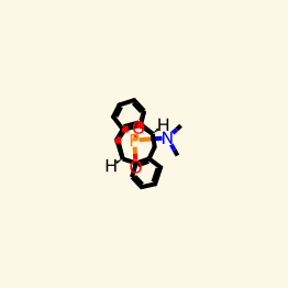 CN(C)P1Oc2cccc3c2[C@@H]2CCC[C@H](C3)c3c(cccc3O1)C2